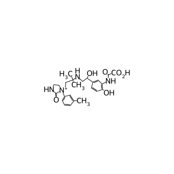 Cc1cccc([N+]2(CCC(C)(C)NCC(O)c3ccc(O)c(NC(=O)C(=O)O)c3)CCNC2=O)c1